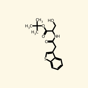 CC(C)(C)OC(=O)C(CO)NC(=O)Cc1csc2ccccc12